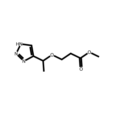 COC(=O)CCOC(C)c1c[nH]nn1